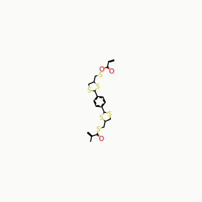 C=CC(=O)OSCC1CSC(c2ccc(C3SCC(CSC(=O)C(=C)C)S3)cc2)S1